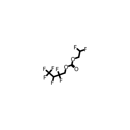 O=C(OCC(F)F)OCC(F)(F)C(F)C(F)(F)F